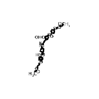 C=CC(=O)OCCCCOc1ccc(NC(=O)c2ccc(-c3nnc(C#Cc4ccc(OC(=O)c5ccc(OCCOC(=O)C=C)cc5)cc4C=O)s3)cc2)cc1